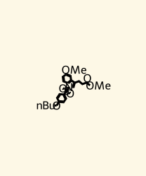 CCCCOc1ccc(S(=O)(=O)n2cc(CCC(=O)OC)c3cc(OC)ccc32)cc1